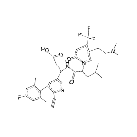 C#Cc1ncc(C(CC(=O)O)NC(=O)C(CC(C)C)n2cc(CCN(C)C)c(C(F)(F)F)cc2=O)cc1-c1c(C)cc(F)cc1C